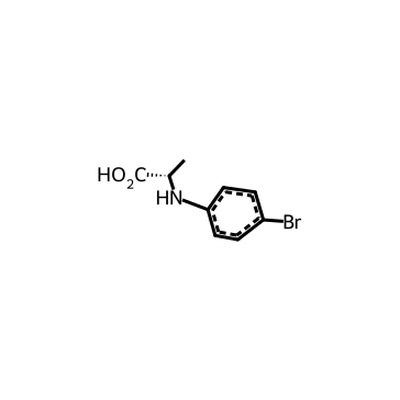 C[C@H](Nc1ccc(Br)cc1)C(=O)O